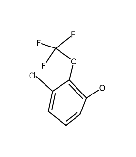 [O]c1cccc(Cl)c1OC(F)(F)F